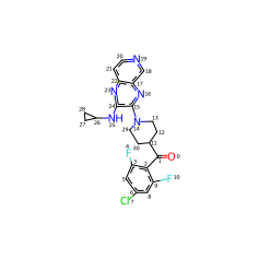 O=C(c1c(F)cc(Cl)cc1F)C1CCN(c2nc3cnccc3nc2NC2CC2)CC1